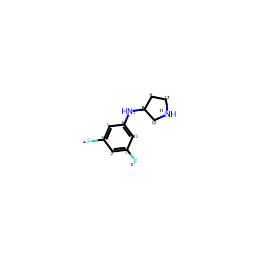 Fc1cc(F)cc(NC2CCNC2)c1